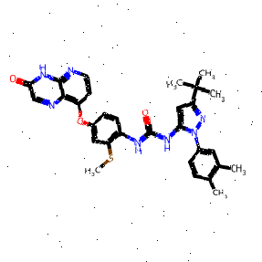 CSc1cc(Oc2ccnc3[nH]c(=O)cnc23)ccc1NC(=O)Nc1cc(C(C)(C)C)nn1-c1ccc(C)c(C)c1